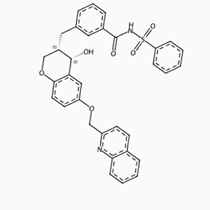 O=C(NS(=O)(=O)c1ccccc1)c1cccc(C[C@H]2COc3ccc(OCc4ccc5ccccc5n4)cc3[C@H]2O)c1